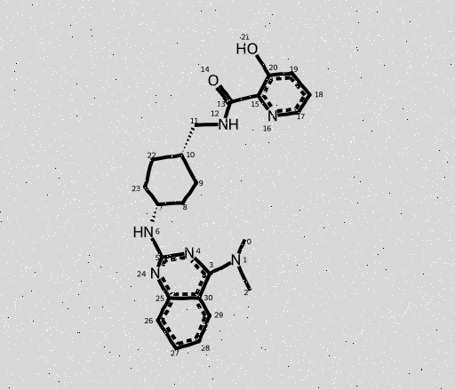 CN(C)c1nc(N[C@H]2CC[C@@H](CNC(=O)c3ncccc3O)CC2)nc2ccccc12